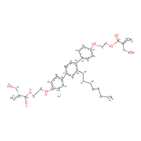 C=C(CO)C(=O)OCCOc1ccc(-c2ccc(-c3ccc(OCCOC(=O)C(=C)CO)c(F)c3)cc2CCCCCCC)cc1